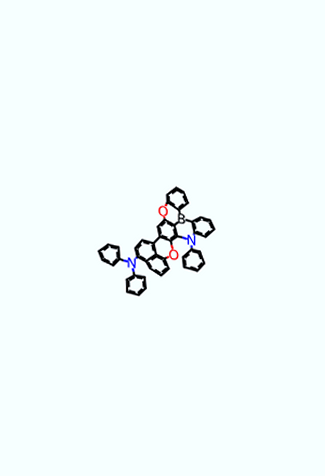 c1ccc(N2c3ccccc3B3c4ccccc4Oc4cc5c(c2c43)Oc2cccc3c(N(c4ccccc4)c4ccccc4)ccc-5c23)cc1